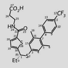 CC[C@@H](Sc1cc(C)c(-c2ccc(C(F)(F)F)cc2)c(C)c1)c1ccc(C(=O)NCCC(=O)O)s1